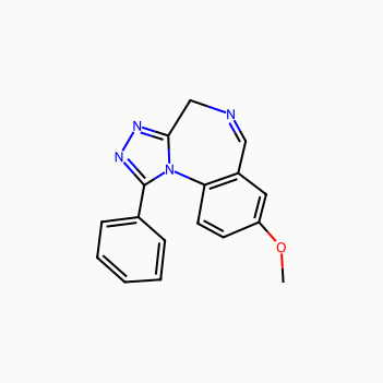 COc1ccc2c(c1)C=NCc1nnc(-c3ccccc3)n1-2